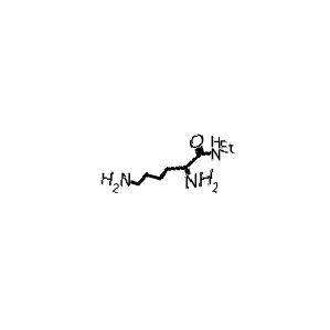 CCNC(=O)C(N)CCCCN